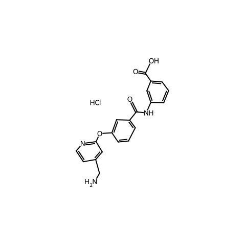 Cl.NCc1ccnc(Oc2cccc(C(=O)Nc3cccc(C(=O)O)c3)c2)c1